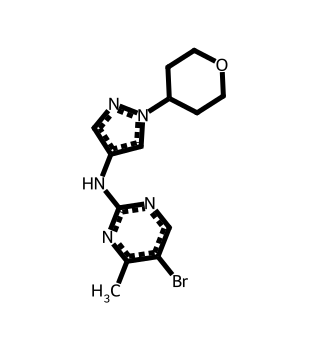 Cc1nc(Nc2cnn(C3CCOCC3)c2)ncc1Br